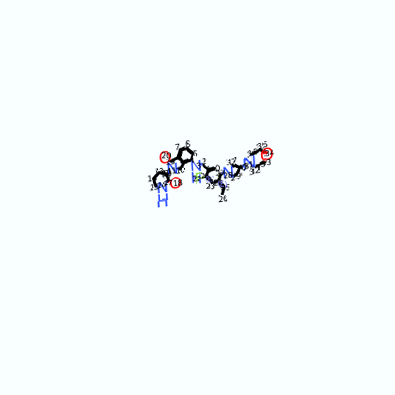 C=C(CNc1cccc2c1CN([C@@H]1CCCNC1=O)C2=O)/C(F)=C\C(=C/C)CN1CC(N2CCOCC2)C1